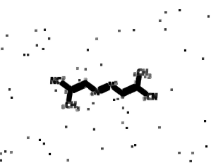 CC(C#N)=CN=NC=C(C)C#N